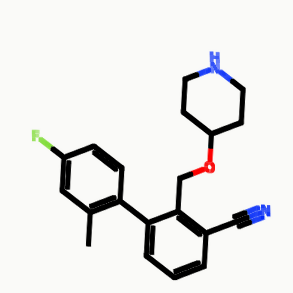 Cc1cc(F)ccc1-c1cccc(C#N)c1COC1CCNCC1